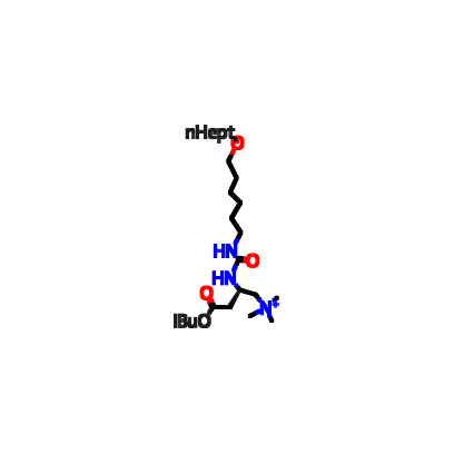 CCCCCCCOCCCCCCNC(=O)N[C@H](CC(=O)OCC(C)C)C[N+](C)(C)C